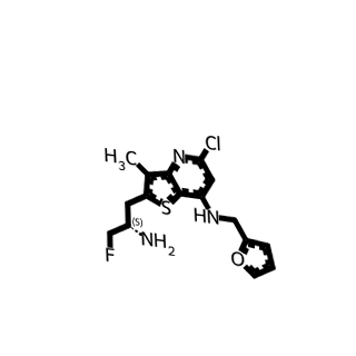 Cc1c(C[C@H](N)CF)sc2c(NCc3ccco3)cc(Cl)nc12